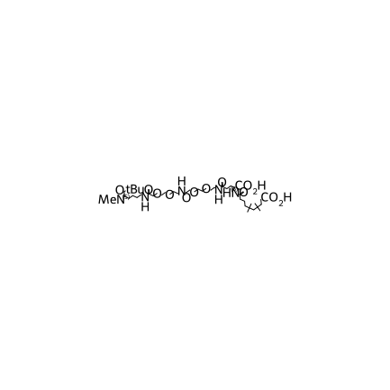 CN[C@@H](CCCCNC(=O)COCCOCCNC(=O)COCCOCCNC(=O)CC[C@H](NC(=O)CCCC(C)(C)CC(C)(C)CCC(=O)O)C(=O)O)C(=O)C(C)(C)C